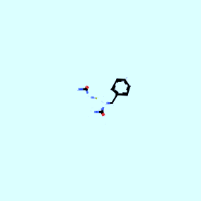 NC(=O)NSN(Cc1ccccc1)C(N)=O